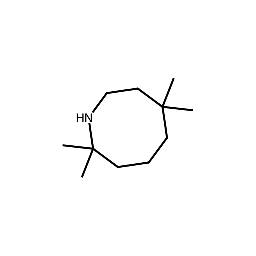 CC1(C)CCCC(C)(C)NCC1